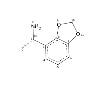 C[C@H](N)c1cccc2c1OCO2